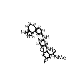 CNC(=O)c1cc(F)ccc1Nc1nc(Nc2ccc3c(c2)-c2cn[nH]c2CCC3)ncc1Cl